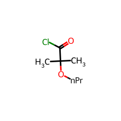 CCCOC(C)(C)C(=O)Cl